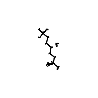 CC(C)(C)CCCCCC(=O)[O-].[K+]